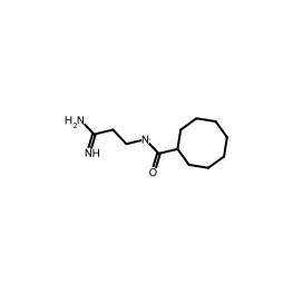 N=C(N)CC[N]C(=O)C1CCCCCCC1